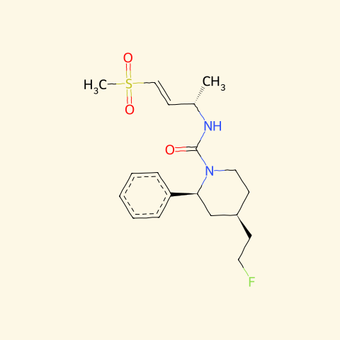 C[C@@H](/C=C/S(C)(=O)=O)NC(=O)N1CC[C@@H](CCF)C[C@H]1c1ccccc1